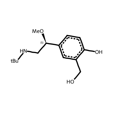 CO[C@H](CNC(C)(C)C)c1ccc(O)c(CO)c1